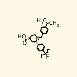 CC(C)c1ccc(CN2CC[C@@H](C(=O)O)C[C@H]2c2ccc(C(F)(F)F)cc2)cc1